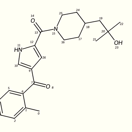 Cc1ccccc1C(=O)c1c[nH]c(C(=O)N2CCC(CC(C)(C)O)CC2)c1